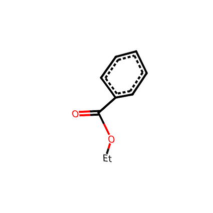 [CH2]COC(=O)c1ccccc1